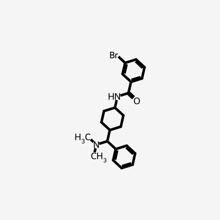 CN(C)C(c1ccccc1)C1CCC(NC(=O)c2cccc(Br)c2)CC1